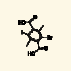 Cc1c(I)c(C(=O)O)c(C)c(Br)c1C(=O)O